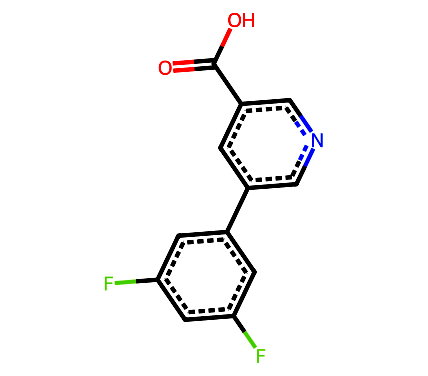 O=C(O)c1cncc(-c2cc(F)cc(F)c2)c1